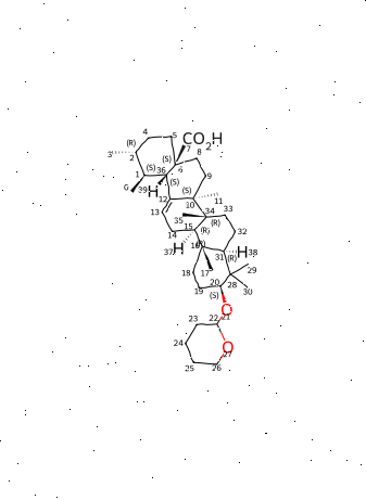 C[C@H]1[C@H](C)CC[C@]2(C(=O)O)CC[C@]3(C)C(=CC[C@@H]4[C@@]5(C)CC[C@H](OC6CCCCO6)C(C)(C)[C@@H]5CC[C@]43C)[C@H]12